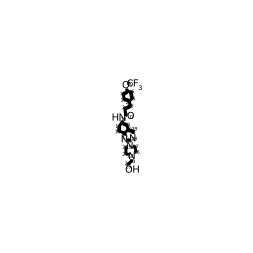 O=C(C=Cc1ccc(OC(F)(F)F)cc1)Nc1ccc2nc(N3CCN(CCO)CC3)ncc2c1